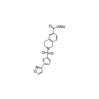 COC(=O)c1ccc2c(c1)CCN(S(=O)(=O)c1ccc(-c3ccon3)s1)C2